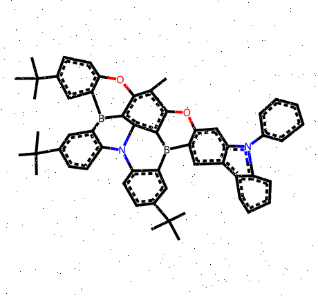 Cc1c2c3c4c5c1Oc1cc6c(cc1B5c1cc(C(C)(C)C)ccc1N4c1ccc(C(C)(C)C)cc1B3c1cc(C(C)(C)C)ccc1O2)c1ccccc1n6-c1ccccc1